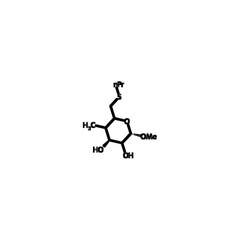 CCCSCC1O[C@H](OC)C(O)[C@@H](O)C1C